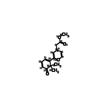 COC(=O)CN1C=COC(C2=CC=CC(=O)C2(C)C)=C1